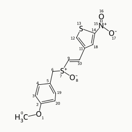 COc1ccc(C[S+]([O-])C=Cc2csc([N+](=O)[O-])c2)cc1